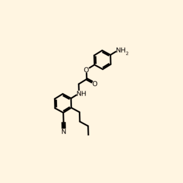 CCCCc1c(C#N)cccc1NCC(=O)Oc1ccc(N)cc1